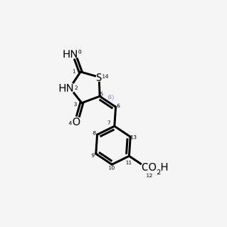 N=C1NC(=O)/C(=C\c2cccc(C(=O)O)c2)S1